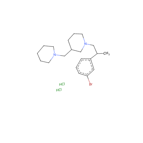 CC(CN1CCCC(CN2CCCCC2)C1)c1cccc(Br)c1.Cl.Cl